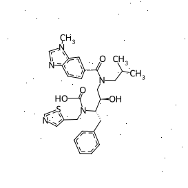 CC(C)CN(C[C@@H](O)[C@H](Cc1ccccc1)N(Cc1cncs1)C(=O)O)C(=O)c1ccc2ncn(C)c2c1